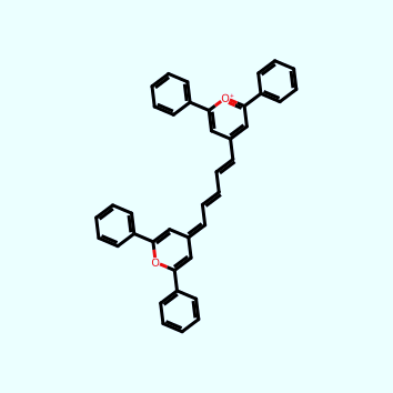 C(/C=C/C=C/c1cc(-c2ccccc2)[o+]c(-c2ccccc2)c1)=C1C=C(c2ccccc2)OC(c2ccccc2)=C1